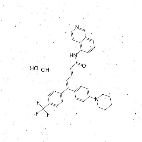 Cl.Cl.O=C(C=CC=C(c1ccc(N2CCCCC2)cc1)c1ccc(C(F)(F)F)cc1)Nc1cccc2cnccc12